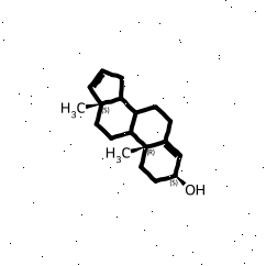 C[C@@]12C=CCC1C1CCC3=C[C@@H](O)CC[C@]3(C)C1CC2